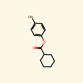 O=Nc1ccc(OC(=O)C2CCCCC2)cc1